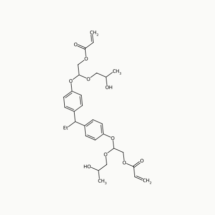 C=CC(=O)OCC(OCC(C)O)Oc1ccc(C(CC)c2ccc(OC(COC(=O)C=C)OCC(C)O)cc2)cc1